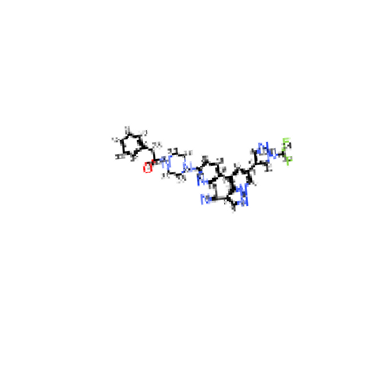 N#Cc1cnn2cc(-c3cnn(C(F)F)c3)cc(-c3ccc(N4CCN(C(=O)Cc5ccccc5)CC4)nc3)c12